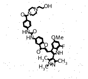 COc1cc(F)c2[nH]c(-c3c(C)nn(C)c3C)c(C=C3Oc4ccc(NC(=O)Nc5ccc(C(=O)N6CCN(CCO)CC6)cc5)cc4C3=O)c2c1